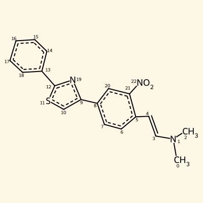 CN(C)C=Cc1ccc(-c2csc(-c3ccccc3)n2)cc1[N+](=O)[O-]